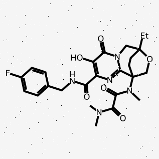 CCC12CCC(N(C)C(=O)C(=O)N(C)C)(CO1)c1nc(C(=O)NCc3ccc(F)cc3)c(O)c(=O)n1C2